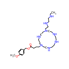 CCNCCNCCN1CCNCCNCCNCCN(CCCC(=O)OCc2ccc(OC)cc2)CCNCC1